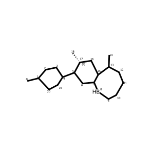 CC1CCC(C2CC3BCCCCC(C)C3C[C@H]2C)CC1